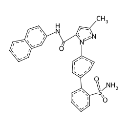 Cc1cc(C(=O)Nc2ccc3ccccc3c2)n(-c2ccc(-c3ccccc3S(N)(=O)=O)cc2)n1